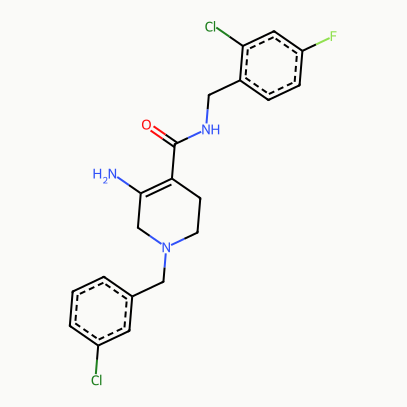 NC1=C(C(=O)NCc2ccc(F)cc2Cl)CCN(Cc2cccc(Cl)c2)C1